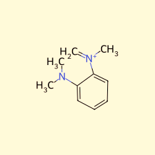 C=[N+](C)c1ccccc1N(C)C